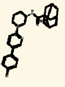 O=C(N[C@H]1CCCN(c2ccc(-c3ccc(Cl)cc3)cn2)C1)C12CC3CC(C1)C(O)C(C3)C2